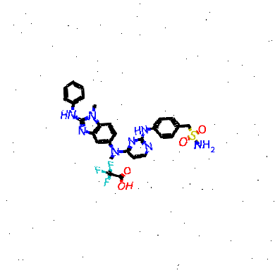 CN(c1ccc2c(c1)nc(Nc1ccccc1)n2C)c1ccnc(Nc2ccc(CS(N)(=O)=O)cc2)n1.O=C(O)C(F)(F)F